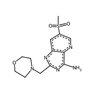 CS(=O)(=O)c1cnc2c(N)nc(CN3CCOCC3)nc2c1